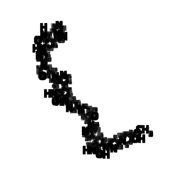 COCC1(O)CCN(c2ccc(Nc3ccc(-c4ccnc5c4ccn5CC4OCC45CCN(c4ccc(Nc6ccc(-c7ccnc8c7ccn8CC7COCCN(c8ccc(Nc9ccc(-c%10cnc%11cnccn%10%11)c%10c9C(=O)NC%10)nc8)C7)c7c6C(=O)NC7)nc4)CC5)c4c3C(=O)NC4)nc2)CC1